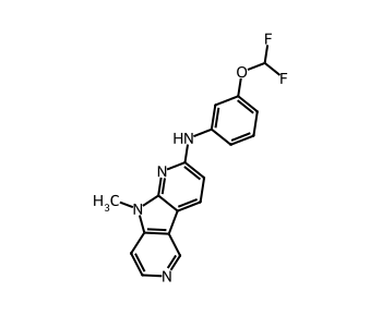 Cn1c2ccncc2c2ccc(Nc3cccc(OC(F)F)c3)nc21